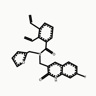 C=Cc1cccc(C(=O)N(Cc2ccco2)Cc2cc3ccc(F)cc3[nH]c2=O)c1C=C